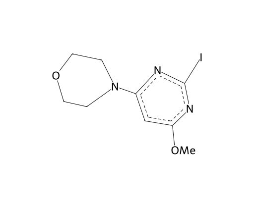 COc1cc(N2CCOCC2)nc(I)n1